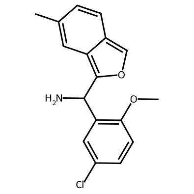 COc1ccc(Cl)cc1C(N)c1occ2ccc(C)cc12